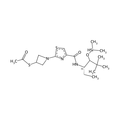 CC[C@H](NC(=O)c1csc(N2CC(SC(C)=O)C2)n1)C(O[SiH](C)C)C(C)(C)C